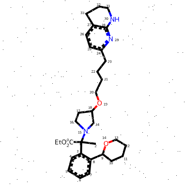 CCOC(=O)C(C)(c1ccccc1C1CCCCO1)N1CCC(OCCCCc2ccc3c(n2)NCCC3)C1